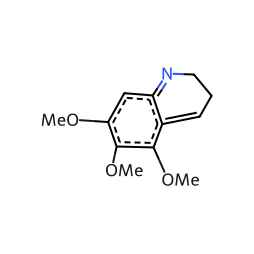 COc1cc2c(c(OC)c1OC)=CCCN=2